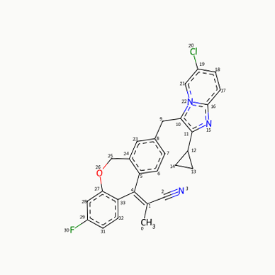 C/C(C#N)=C1/c2ccc(Cc3c(C4CC4)nc4ccc(Cl)cn34)cc2COc2cc(F)ccc21